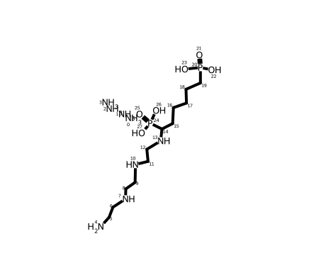 N.N.N.N.NCCNCCNCCNC(CCCCCP(=O)(O)O)P(=O)(O)O